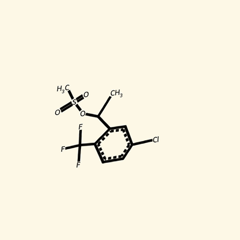 CC(OS(C)(=O)=O)c1cc(Cl)ccc1C(F)(F)F